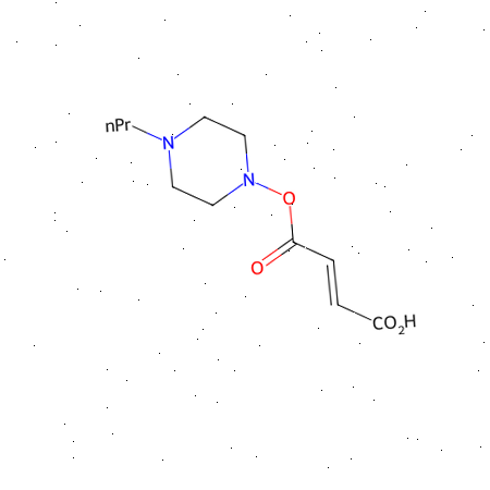 CCCN1CCN(OC(=O)C=CC(=O)O)CC1